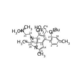 Cc1ccc(-c2c(CC(=O)O)c(C)c3c4c2cc(C)n4C[C@@H](C)N3CCN(C)C)c(OC(C)(C)C)c1